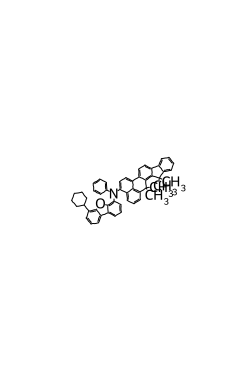 CC1(C)c2ccccc2-c2ccc3c(c21)C(C)(C)c1cccc2c(N(c4ccccc4)c4cccc5c4oc4c(C6CCCCC6)cccc45)ccc-3c12